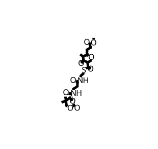 COC(=O)CCC(=O)C(C)C(=O)C(C)C(=O)SCCNC(=O)CCNC(=O)[C@@H]1OC(=O)OCC1(C)C